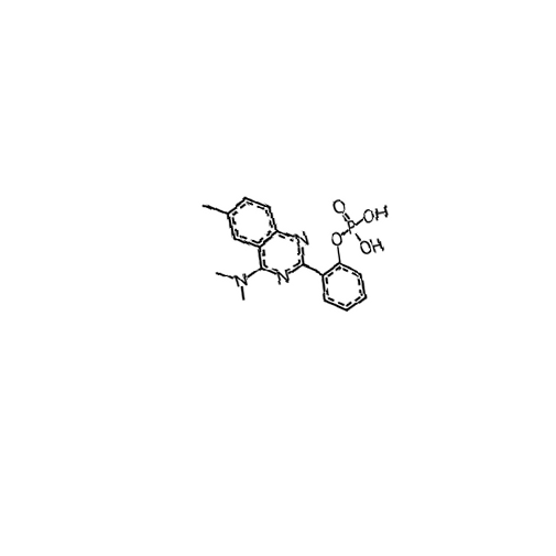 Cc1ccc2nc(-c3ccccc3OP(=O)(O)O)nc(N(C)C)c2c1